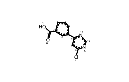 O=C(O)c1cccc(-c2cc(Cl)ncn2)c1